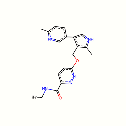 Cc1ccc(-c2c[nH]c(C)c2COc2ccc(C(=O)NCC(C)C)nn2)cn1